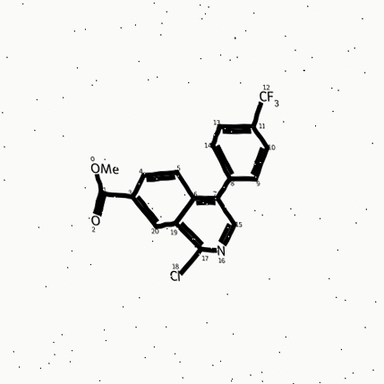 COC(=O)c1ccc2c(-c3ccc(C(F)(F)F)cc3)cnc(Cl)c2c1